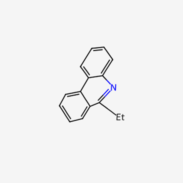 [CH2]Cc1nc2ccccc2c2ccccc12